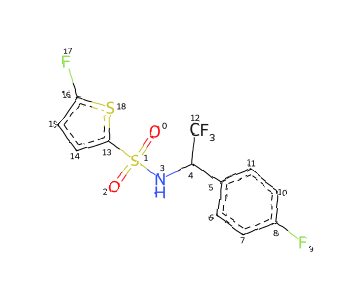 O=S(=O)(NC(c1ccc(F)cc1)C(F)(F)F)c1ccc(F)s1